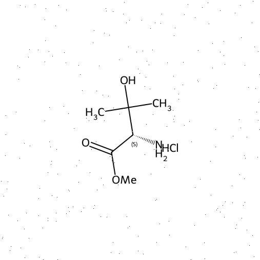 COC(=O)[C@@H](N)C(C)(C)O.Cl